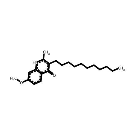 CCCCCCCCCCCc1c(C)[nH]c2cc(OC)ccc2c1=O